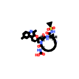 Cc1ccc2nc(C)c3c(c2c1)CC[C@]1(C[C@H]2C(=O)N[C@]4(C(=O)NS(=O)(=O)C5CC5)C[C@H]4/C=C\CCCCC[C@H](NC(=O)O)C(=O)N2C1)O3